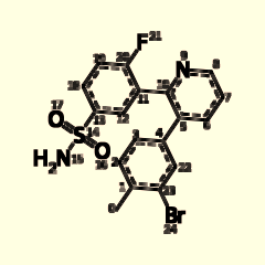 Cc1ccc(-c2cccnc2-c2cc(S(N)(=O)=O)ccc2F)cc1Br